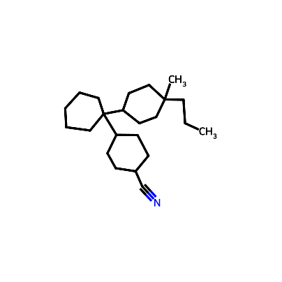 CCCC1(C)CCC(C2(C3CCC(C#N)CC3)CCCCC2)CC1